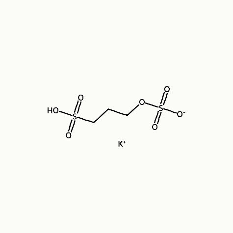 O=S(=O)(O)CCCOS(=O)(=O)[O-].[K+]